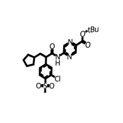 CC(C)(C)OC(=O)c1cnc(NC(=O)C(CC2CCCC2)c2ccc(S(C)(=O)=O)c(Cl)c2)cn1